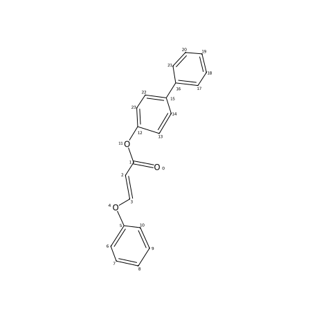 O=C(C=COc1ccccc1)Oc1ccc(-c2ccccc2)cc1